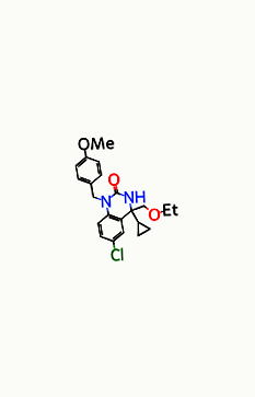 CCOCC1(C2CC2)NC(=O)N(Cc2ccc(OC)cc2)c2ccc(Cl)cc21